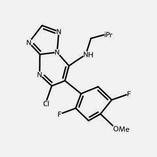 COc1cc(F)c(-c2c(Cl)nc3ncnn3c2NCC(C)C)cc1F